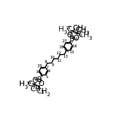 C=C1OB(c2ccc(CCCCCCc3ccc(B4OC(C)(C)C(C)(C)O4)cc3)cc2)OC1(C)C